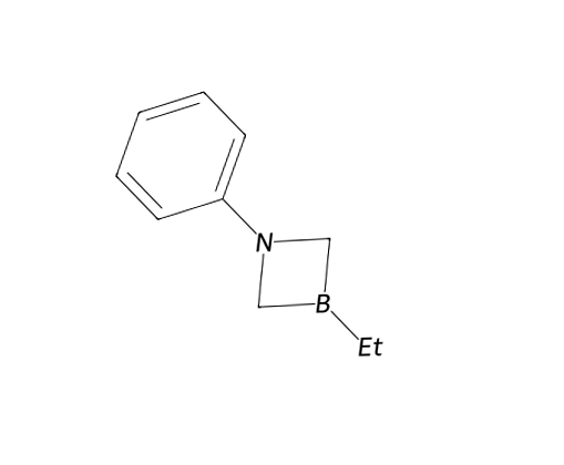 CCB1CN(c2ccccc2)C1